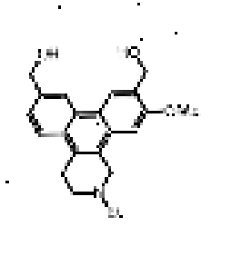 CCN1CCc2c(c3cc(OC)c(CO)cc3c3cc(CO)ccc23)C1